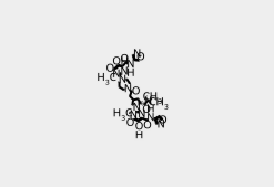 CN(C)C(=O)[C@H]1CC(CC(=O)N2CCCN(c3nc(C(=O)Nc4cnoc4)c(O)c(=O)n3C)CC2)CN1c1nc(C(=O)Nc2cnoc2)c(O)c(=O)n1C